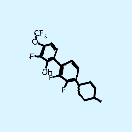 CC1CCC(c2ccc(-c3ccc(OC(F)(F)F)c(F)c3O)c(F)c2F)CC1